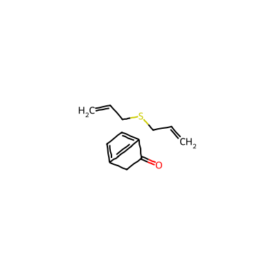 C=CCSCC=C.O=C1Cc2ccc1cc2